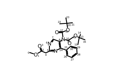 COC(=O)Cc1ncc(N(C(=O)OC(C)(C)C)C(=O)OC(C)(C)C)c(-c2ccccc2)n1